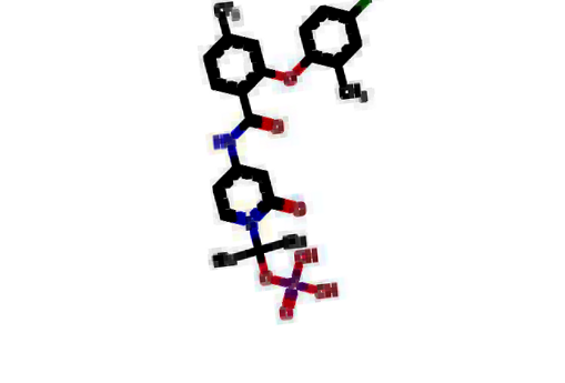 Cc1cc(F)ccc1Oc1cc(C(F)(F)F)ccc1C(=O)Nc1ccn(C(OP(=O)(O)O)(C(C)(C)C)C(C)(C)C)c(=O)c1